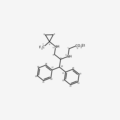 CCOC(=O)CNC(CNC1(C(F)(F)F)CC1)C(c1ccccc1)c1ccccc1